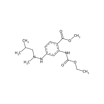 CCOC(=O)Nc1cc(NN(C)CC(C)C)ccc1C(=O)OC